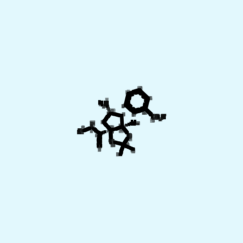 CCNC(=O)[C@]12C[C@H](N)C[C@H]1OC(C)(C)O2.O=C(O)c1ccccc1